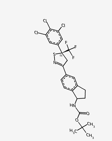 CC(C)(C)OC(=O)NC1CCc2cc(C3=NS[C@@](c4cc(Cl)c(Cl)c(Cl)c4)(C(F)(F)F)C3)ccc21